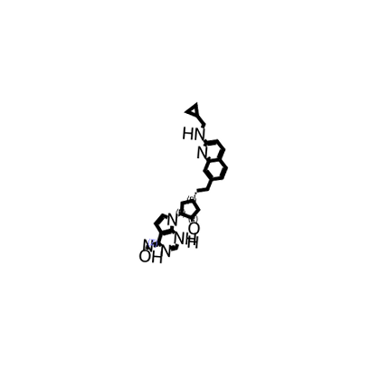 O/N=c1\nc[nH]c2c1ccn2[C@@H]1C[C@H](CCc2ccc3ccc(NCC4CC4)nc3c2)C[C@H]1O